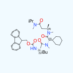 CC[C@H](C)[C@H](NC(=O)OCC1c2ccccc2-c2ccccc21)C(=O)N(C)[C@H](C(=O)N(C)[C@H](C)CC(=O)N(C)C(C)C)C1CCCCC1